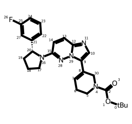 CC(C)(C)OC(=O)N1CCC=C(c2cnc3ccc(N4CCC[C@@H]4c4cccc(F)c4)nn23)C1